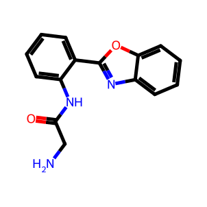 NCC(=O)Nc1ccccc1-c1nc2ccccc2o1